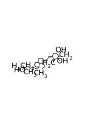 C=C1/C(=C\C=C2/CCC[C@@]3(C)C2CC[C@@H]3[C@@H](C)CCCC(C)(C)O)C[C@@H](O)C(=C)C1O